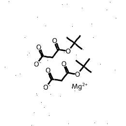 CC(C)(C)OC(=O)CC(=O)[O-].CC(C)(C)OC(=O)CC(=O)[O-].[Mg+2]